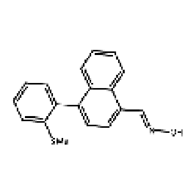 CSc1ccccc1-c1ccc(C=NO)c2ccccc12